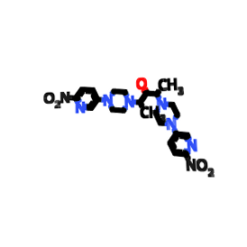 CC(C(=O)C(C)N1CCN(c2ccc([N+](=O)[O-])nc2)CC1)N1CCN(c2ccc([N+](=O)[O-])nc2)CC1